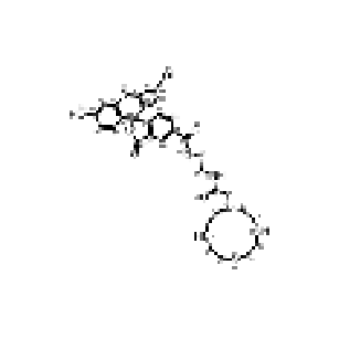 O=C(CN1CCNCCNCCNCC1)NCCNC(=O)c1ccc2c(c1)C(=O)OC21c2ccc(O)cc2Oc2cc(O)ccc21